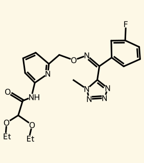 CCOC(OCC)C(=O)Nc1cccc(CO/N=C(/c2cccc(F)c2)c2nnnn2C)n1